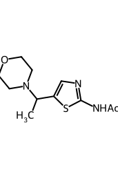 CC(=O)Nc1ncc(C(C)N2CCOCC2)s1